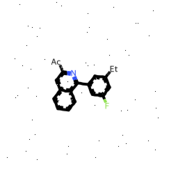 CCc1cc(F)cc(-c2nc(C(C)=O)cc3ccccc23)c1